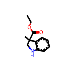 CCOC(=O)C1(C)CNc2ccccc21